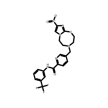 O=C(Nc1cccc(C(F)(F)F)c1)c1ccc(CN2CCOc3nc([N+](=O)[O-])cn3CC2)cn1